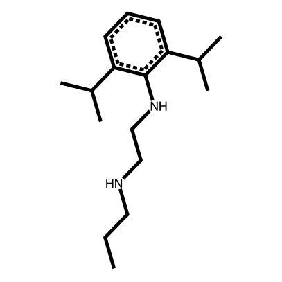 CCCNCCNc1c(C(C)C)cccc1C(C)C